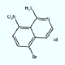 Cc1nccc2c(Br)ccc([N+](=O)[O-])c12.I